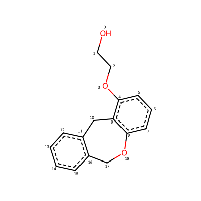 OCCOc1cccc2c1Cc1ccccc1CO2